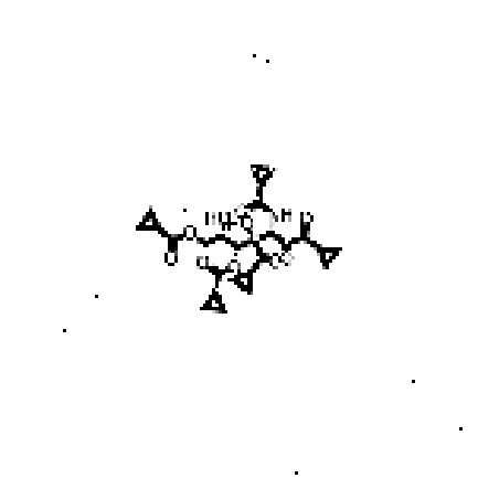 O=C(N[C@H](C(=O)C(=O)C1CC1)[C@](O)(C(=O)C1CC1)[C@H](OC(=O)C1CC1)[C@H](O)COC(=O)C1CC1)C1CC1